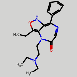 CCC1=C2C(=C(c3ccccc3)N=CC(=O)N2CCN(CC)CC)NO1